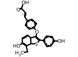 CCC1=C(O)C=CC2C(Oc3ccc(/C=C/C(=O)O)cc3)=C(c3ccc(O)cc3)SC12